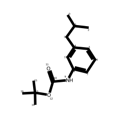 CC(C)Cc1c[c]cc(NC(=O)OC(C)(C)C)c1